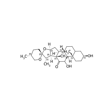 C[C@@H]1CC[C@@]2(OC1)O[C@H]1C[C@H]3[C@@H]4CCC5C[C@@H](O)CC[C@]5(C)[C@H]4C(O)C(=O)[C@]3(C)[C@H]1[C@@H]2C